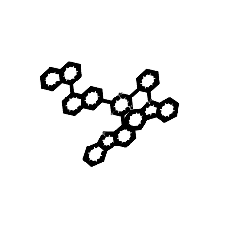 c1ccc(-n2c3ccccc3c3ccccc32)c(-c2nc(-c3ccc4c(-c5cccc6ccccc56)cccc4c3)nc(-c3cccc4c3sc3ccccc34)n2)c1